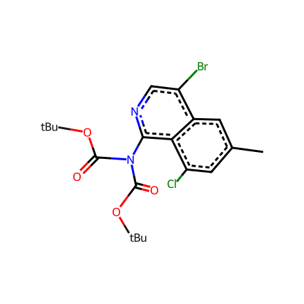 Cc1cc(Cl)c2c(N(C(=O)OC(C)(C)C)C(=O)OC(C)(C)C)ncc(Br)c2c1